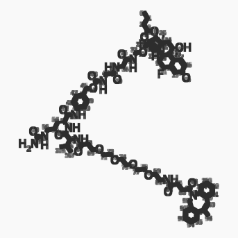 CCCC1O[C@@H]2CC3[C@@H]4C[C@H](F)C5=CC(=O)C=C[C@]5(C)[C@@]4(F)[C@@H](O)C[C@]3(C)[C@]2(C(=O)COCNC(=O)CNC(=O)CNC(=O)OCc2ccc(NC(=O)[C@H](CCCNC(N)=O)NC(=O)[C@@H](NC(=O)CCOCCOCCOCCOCCNC(=O)CCC(=O)N3Cc4ccccc4/C(C)=C\c4ccccc43)C(C)C)cc2)O1